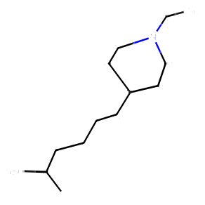 CCCCC(C)CCCCC1CCN(CC(C)CC)CC1